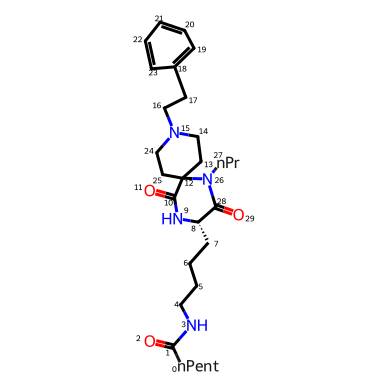 CCCCCC(=O)NCCCC[C@@H]1NC(=O)C2(CCN(CCc3ccccc3)CC2)N(CCC)C1=O